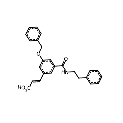 O=C(O)/C=C/c1cc(OCc2ccccc2)cc(C(=O)NCCc2ccccc2)c1